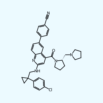 N#Cc1ccc(-c2ccc3nc(NCC4(c5ccc(Cl)cc5)CC4)cc(C(=O)N4CCC[C@H]4CN4CCCC4)c3c2)cc1